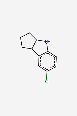 Clc1ccc2c(c1)C1CCCC1N2